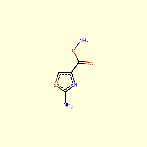 NOC(=O)c1csc(N)n1